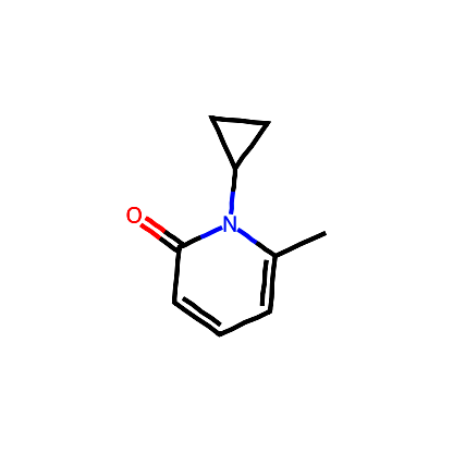 Cc1cccc(=O)n1C1CC1